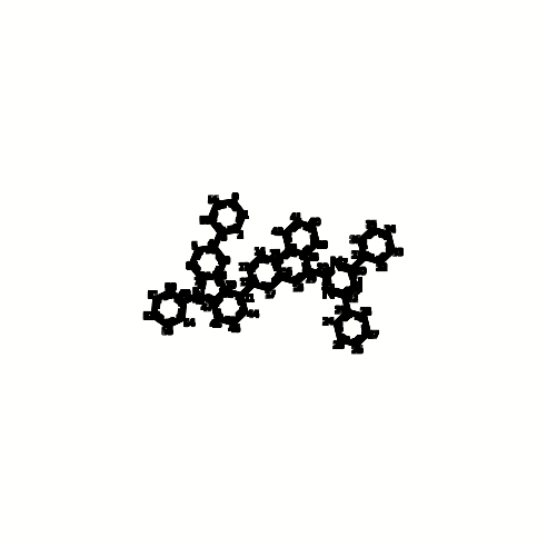 c1ccc(-c2ccc3c(c2)c2c(-c4ccc5c(c4)cc(-c4nc(-c6ccccc6)nc(-c6ccccc6)n4)c4ccccc45)cccc2n3-c2ccccc2)cc1